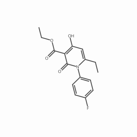 CCOC(=O)c1c(O)cc(CC)n(-c2ccc(F)cc2)c1=O